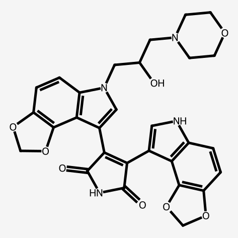 O=C1NC(=O)C(c2cn(CC(O)CN3CCOCC3)c3ccc4c(c23)OCO4)=C1c1c[nH]c2ccc3c(c12)OCO3